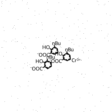 CCCCc1cccc(C(=O)[O-])c1O.CCCCc1cccc(C(=O)[O-])c1O.CCCCc1cccc(C(=O)[O-])c1O.[Cr+3]